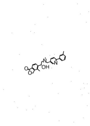 Cc1cccc(-c2ccc(CN(C)CC(O)c3ccc4c(c3C)COC4=O)cn2)c1